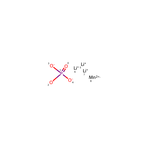 O=P([O-])([O-])[O-].[Li+].[Li+].[Li+].[Mn+2]